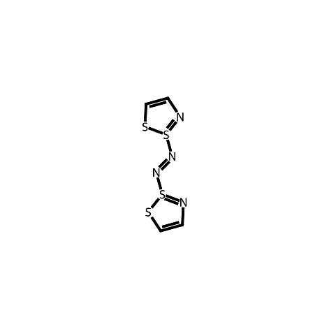 C1=CSS(N=NS2=NC=CS2)=N1